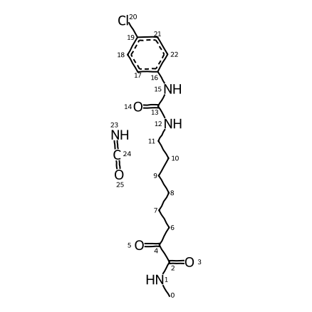 CNC(=O)C(=O)CCCCCCNC(=O)Nc1ccc(Cl)cc1.N=C=O